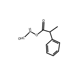 CC(C(=O)ONC=O)c1ccccc1